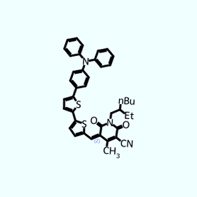 CCCCC(CC)CN1C(=O)C(C#N)=C(C)/C(=C/c2ccc(-c3ccc(-c4ccc(N(c5ccccc5)c5ccccc5)cc4)s3)s2)C1=O